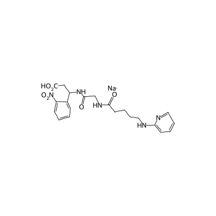 O=C(O)CC(NC(=O)CNC(=O)CCCCNc1ccccn1)c1ccccc1[N+](=O)[O-].[Na]